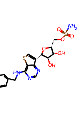 NS(=O)(=O)OC[C@H]1O[C@@H](c2csc3c(NCc4cccc(Cl)c4)ncnc23)[C@H](O)[C@@H]1O